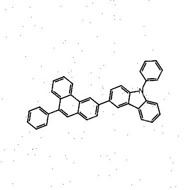 c1ccc(-c2cc3ccc(-c4ccc5c(c4)c4ccccc4n5-c4ccccc4)cc3c3ccccc23)cc1